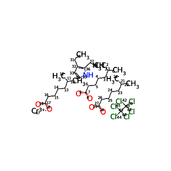 CC(C)CCCCC(=O)[O-].CC(C)CCCCC(=O)[O-].CC(C)CCCCC(=O)[O-].CCc1cc[nH]c1CC.ClC(Cl)(Cl)C(Cl)(Cl)Cl.[Cr+3]